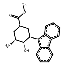 CC(C)(C)OC(=O)N1C[C@@H](n2c3ccccc3c3ccccc32)[C@H](O)[C@@H](N)C1